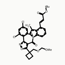 COCOCC1(c2onc(-c3c(Cl)cc(Cl)cc3Cl)c2C(=O)n2cc(C)c3c(/C=C/C(=O)OC(C)(C)C)cccc32)CCC1